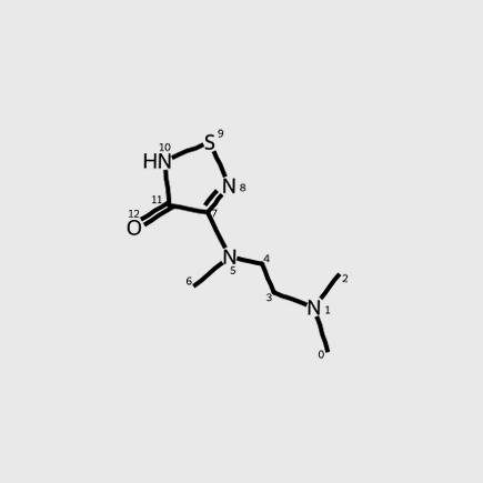 CN(C)CCN(C)c1ns[nH]c1=O